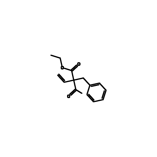 C=CC(Cc1ccccc1)(C(C)=O)C(=O)OCC